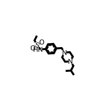 CCS(=O)(=O)Nc1ccc(CN2CCN(C[C](C)C)CC2)cc1